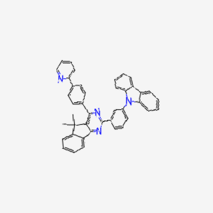 CC1(C)c2ccccc2-c2nc(-c3cccc(-n4c5ccccc5c5ccccc54)c3)nc(-c3ccc(-c4ccccn4)cc3)c21